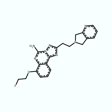 Nc1nc2c(OCCF)cccc2c2nc(CCN3Cc4cccnc4C3)nn12